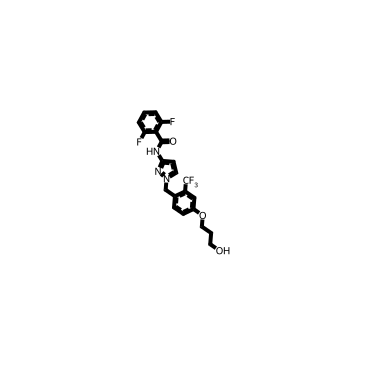 O=C(Nc1ccn(Cc2ccc(OCCCO)cc2C(F)(F)F)n1)c1c(F)cccc1F